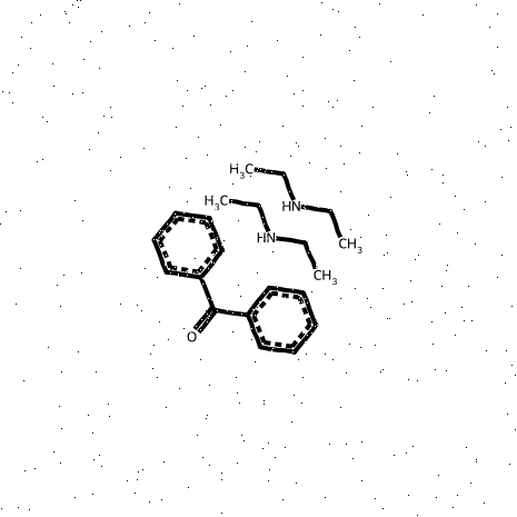 CCNCC.CCNCC.O=C(c1ccccc1)c1ccccc1